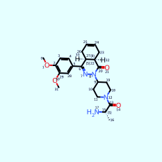 COc1ccc(C2=NN(C3CCN(C(=O)[C@H](C)N)CC3)C(=O)[C@@H]3CC=CC[C@H]23)cc1OC